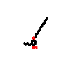 CCCCCCCCCCCCOc1ccc(O)c(CCCC)c1